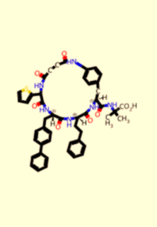 CC(C)(NC(=O)[C@@H]1Cc2ccc(cc2)NC(=O)CCC(=O)NC(c2cccs2)C(=O)N[C@@H](Cc2ccc(-c3ccccc3)cc2)C(=O)N[C@H](CCc2ccccc2)C(=O)N1)C(=O)O